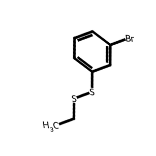 CCSSc1cccc(Br)c1